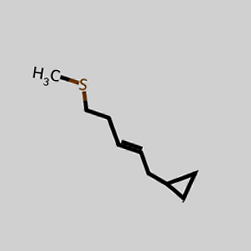 CSCCC=CCC1[CH]C1